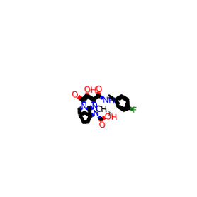 CN(C(=O)O)C12CCC(Cn3c1nc(C(=O)NCc1ccc(F)cc1)c(O)c3=O)C2